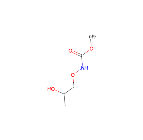 CCCOC(=O)NOCC(C)O